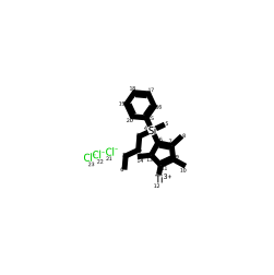 CCCC[Si](C)(C1=C(C)C(C)=[C]([Ti+3])C1C)c1ccccc1.[Cl-].[Cl-].[Cl-]